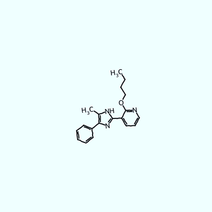 CCCCOc1ncccc1-c1nc(-c2ccccc2)c(C)[nH]1